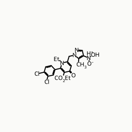 CCOC(=O)c1c(-c2ccc(Cl)c(Cl)c2)n(CC)c(Cn2ncc([NH+]([O-])O)c2C)cc1=O